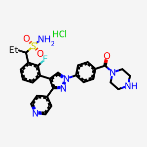 CCC(c1cccc(-c2cn(-c3ccc(C(=O)N4CCNCC4)cc3)nc2-c2ccncc2)c1F)S(N)(=O)=O.Cl